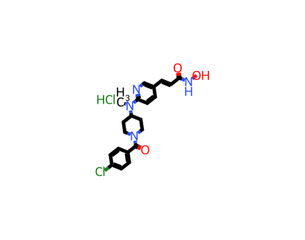 CN(c1ccc(C=CC(=O)NO)cn1)C1CCN(C(=O)c2ccc(Cl)cc2)CC1.Cl